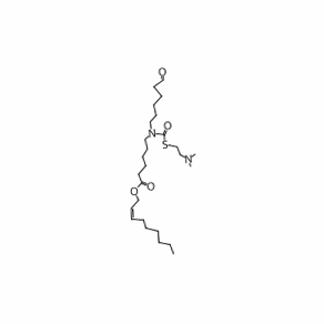 CCCCCC/C=C\COC(=O)CCCCCN(CCCCCC=O)C(=O)SCCN(C)C